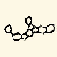 C1=CC2=Nc3c(n4c5ccccc5c5c6c(cc3c54)OC3C=CC(c4ccccc4)=CC63)NC2C=C1